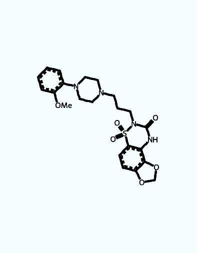 COc1ccccc1N1CCN(CCCN2C(=O)Nc3c(ccc4c3OCO4)S2(=O)=O)CC1